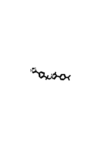 Cc1nn(CC(C)(C)c2ccc(-c3cncs3)cc2)cc1-c1ccc(C(C)C)cc1